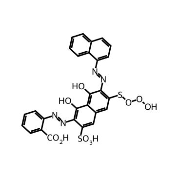 O=C(O)c1ccccc1N=Nc1c(S(=O)(=O)O)cc2cc(SOOO)c(N=Nc3cccc4ccccc34)c(O)c2c1O